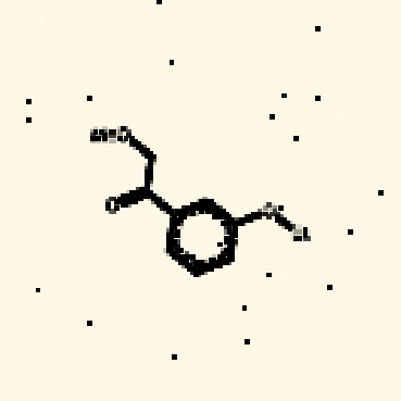 CCOc1cccc(C(=O)COC)c1